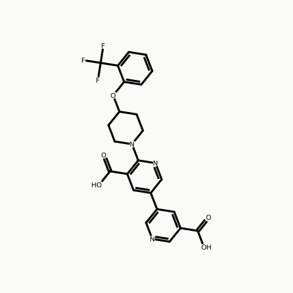 O=C(O)c1cncc(-c2cnc(N3CCC(Oc4ccccc4C(F)(F)F)CC3)c(C(=O)O)c2)c1